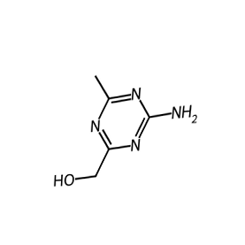 Cc1nc(N)nc(CO)n1